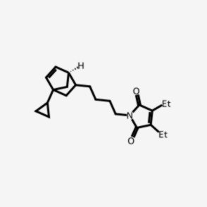 CCC1=C(CC)C(=O)N(CCCCC2CC3(C4CC4)C=C[C@@H]2C3)C1=O